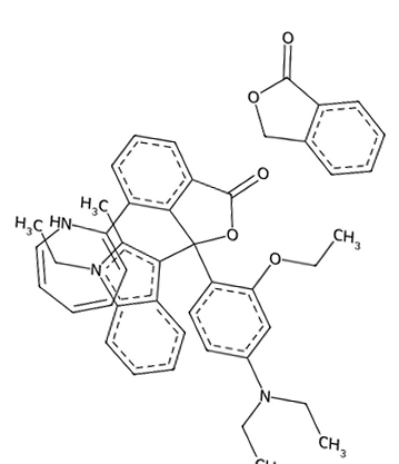 CCOc1cc(N(CC)CC)ccc1C1(c2c(C)n(CC)c3ccccc23)OC(=O)c2cccc(C3=CC=CC=CN3)c21.O=C1OCc2ccccc21